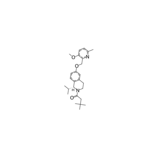 COc1ccc(C)nc1COc1ccc2c(c1)CCN(C(=O)CC(C)(C)C)[C@@H]2C(C)C